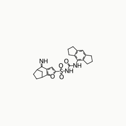 N=C1c2cc(S(=O)(=O)NC(=O)Nc3c4c(cc5c3CCC5)CCC4)oc2C2CCC1C2